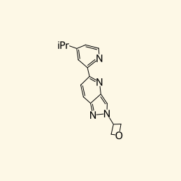 CC(C)c1ccnc(-c2ccc3nn(C4COC4)cc3n2)c1